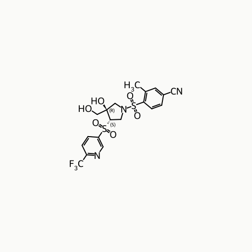 Cc1cc(C#N)ccc1S(=O)(=O)N1C[C@H](S(=O)(=O)c2ccc(C(F)(F)F)nc2)[C@](O)(CO)C1